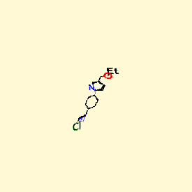 CCOCc1ccc([C@H]2CC[C@H](/C=C/Cl)CC2)nc1